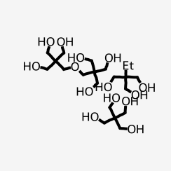 CCC(CO)(CO)CO.OCC(CO)(CO)CO.OCC(CO)(CO)COCC(CO)(CO)CO